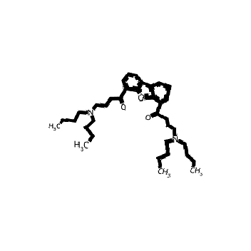 CCCCN(CCCC)CCCC(=O)c1cccc2c1oc1c(C(=O)CCCN(CCCC)CCCC)cccc12